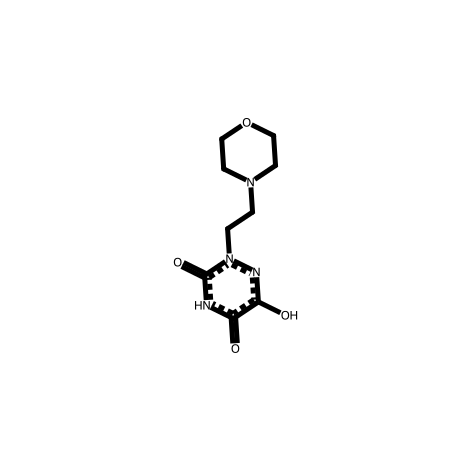 O=c1[nH]c(=O)n(CCN2CCOCC2)nc1O